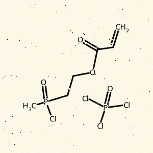 C=CC(=O)OCCP(C)(=O)Cl.O=P(Cl)(Cl)Cl